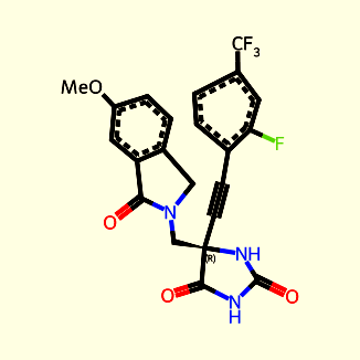 COc1ccc2c(c1)C(=O)N(C[C@@]1(C#Cc3ccc(C(F)(F)F)cc3F)NC(=O)NC1=O)C2